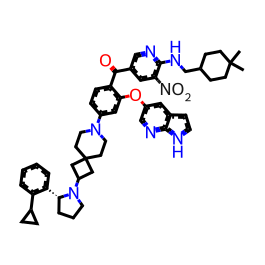 CC1(C)CCC(CNc2ncc(C(=O)c3ccc(N4CCC5(CC4)CC(N4CCC[C@@H]4c4ccccc4C4CC4)C5)cc3Oc3cnc4[nH]ccc4c3)cc2[N+](=O)[O-])CC1